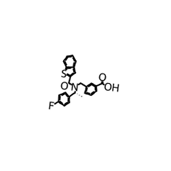 C[C@H](c1ccc(F)cc1)N(Cc1cccc(C(=O)O)c1)C(=O)c1cc2ccccc2s1